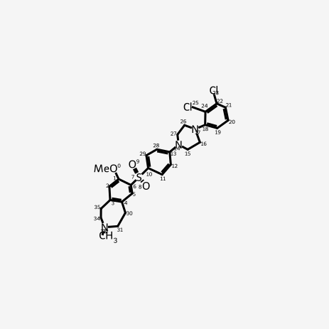 COc1cc2c(cc1S(=O)(=O)c1ccc(N3CCN(c4cccc(Cl)c4Cl)CC3)cc1)CCN(C)CC2